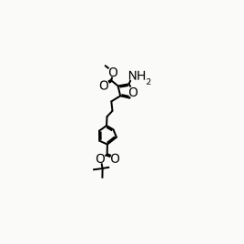 COC(=O)c1c(CCCc2ccc(C(=O)OC(C)(C)C)cc2)coc1N